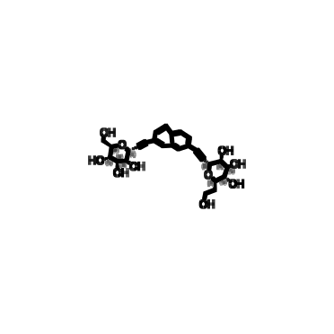 OCC[C@H]1O[C@H](C#Cc2ccc3ccc(C#C[C@H]4O[C@H](CO)[C@@H](O)[C@H](O)[C@@H]4O)cc3c2)[C@@H](O)[C@@H](O)[C@@H]1O